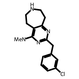 CNc1nc(Cc2cccc(Cl)c2)nc2c1CCNCC2